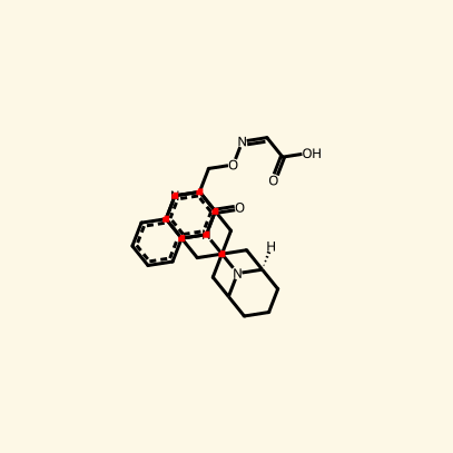 O=C(O)/C=N\OCc1nc2ccccc2n(C2CC3CCC[C@H](C2)N3C2CC3CCCC(C3)C2)c1=O